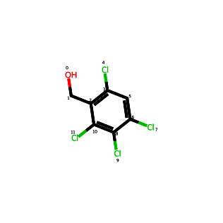 OCc1c(Cl)cc(Cl)c(Cl)c1Cl